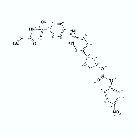 CC(C)(C)OC(=O)NS(=O)(=O)c1ccc(Nc2ncc([C@H]3C[C@H](OC(=O)Oc4ccc([N+](=O)[O-])cc4)CO3)cn2)cc1